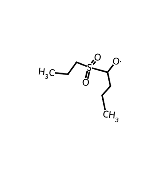 CCCC([O])S(=O)(=O)CCC